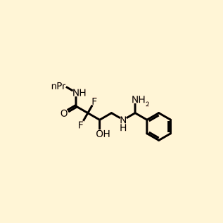 CCCNC(=O)C(F)(F)C(O)CNC(N)c1ccccc1